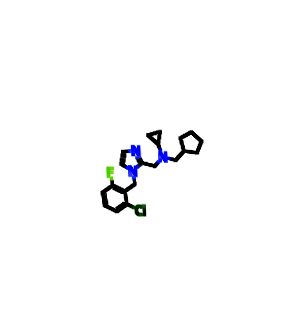 Fc1cccc(Cl)c1Cn1ccnc1CN(CC1CCCC1)C1CC1